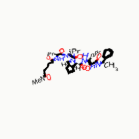 CCCC(NC(=O)[C@@H]1[C@H]2CCC[C@H]2CN1C(=O)C(NC(=O)[C@@H](NC(=O)CCCCC(=O)NC)C(C)C)C(C)C)C(O)C(=O)N[C@@H](C)c1ccccc1